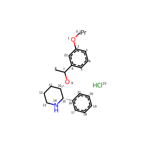 CC(C)Oc1cccc(C(C)O[C@H]2CCCN[C@H]2c2ccccc2)c1.Cl